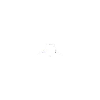 O=C1CO[N+](=O)C1